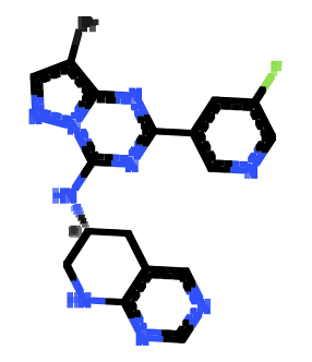 CC(C)c1cnn2c(N[C@H]3CNc4ncncc4C3)nc(-c3cncc(F)c3)nc12